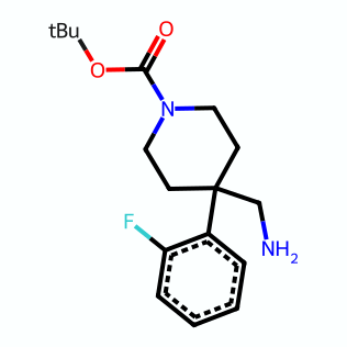 CC(C)(C)OC(=O)N1CCC(CN)(c2ccccc2F)CC1